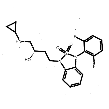 O=S1(=O)N(CC[C@H](O)CNC2CC2)c2ccccc2N1c1c(F)cccc1F